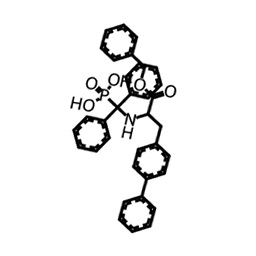 O=C(OCc1ccccc1)C(Cc1ccc(-c2ccccc2)cc1)NC(c1ccccc1)(c1ccccc1)P(=O)(O)O